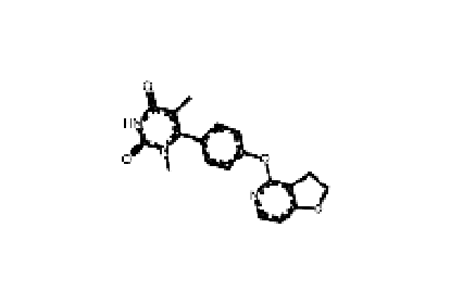 Cc1c(-c2ccc(Oc3nccc4c3CCO4)cc2)n(C)c(=O)[nH]c1=O